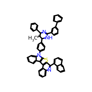 C[C@H]1C(c2ccccc2)N=C(c2cccc(-c3ccccc3)c2)NC1c1ccc(-n2c3ccccc3c3c4c(sc32)c(-c2cccc3ccccc23)nc2ccccc24)cc1